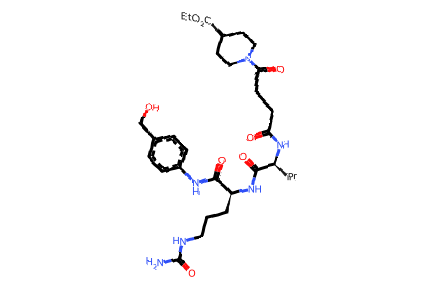 CCOC(=O)C1CCN(C(=O)CCC(=O)N[C@H](C(=O)N[C@@H](CCCNC(N)=O)C(=O)Nc2ccc(CO)cc2)C(C)C)CC1